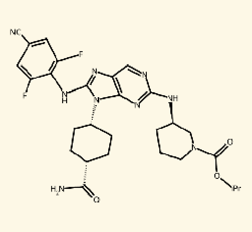 CC(C)OC(=O)N1CCC[C@@H](Nc2ncc3nc(Nc4c(F)cc(C#N)cc4F)n([C@H]4CC[C@@H](C(N)=O)CC4)c3n2)C1